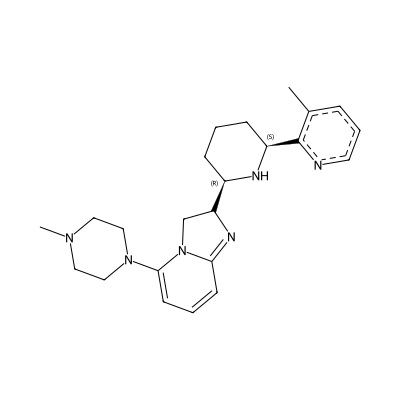 Cc1cccnc1[C@@H]1CCC[C@H](C2CN3C(N4CCN(C)CC4)=CC=CC3=N2)N1